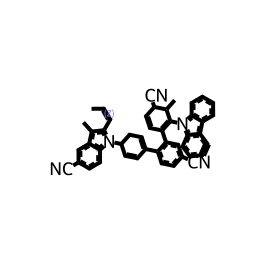 C/C=C\c1c(C)c2cc(C#N)ccc2n1C1C=CC(c2ccc(C#N)cc2C2=C(n3c4ccc#cc4c4ccccc43)C(C)C(C#N)C=C2)=CC1